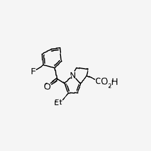 CCc1cc2n(c1C(=O)c1ccccc1F)CCC2C(=O)O